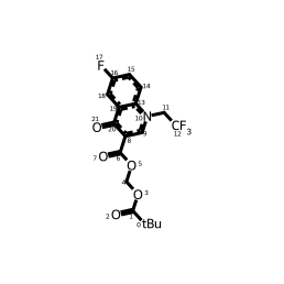 CC(C)(C)C(=O)OCOC(=O)c1cn(CC(F)(F)F)c2ccc(F)cc2c1=O